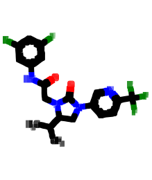 CC(C)C1CN(c2ccc(C(F)(F)F)nc2)C(=O)N1CC(=O)Nc1cc(F)cc(F)c1